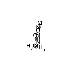 CN(C)[C@@H]1CCN(c2ccc(-n3ccc(OCc4ccc(Cl)cn4)cc3=O)cn2)C1